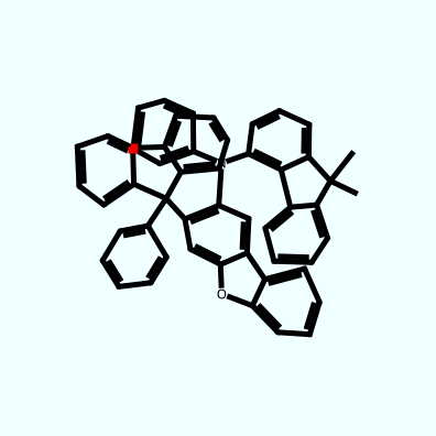 CC1(C)c2ccccc2-c2c(N(c3ccccc3)c3cc4c(cc3C3(c5ccccc5)c5ccccc5-c5ccccc53)oc3ccccc34)cccc21